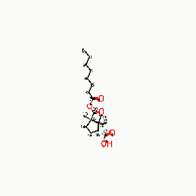 CCCCCCCC(=O)OC(=O)[C@@]1(C)CC[C@@H](C(=O)O)C1(C)C